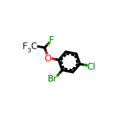 FC(Oc1ccc(Cl)cc1Br)C(F)(F)F